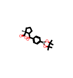 CC1(C)OB(c2ccc(C(=O)C3CCC[C@@]3(C)C(=O)O)cc2)OC1(C)C